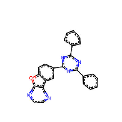 c1ccc(-c2nc(-c3ccccc3)nc(-c3ccc4oc5nccnc5c4c3)n2)cc1